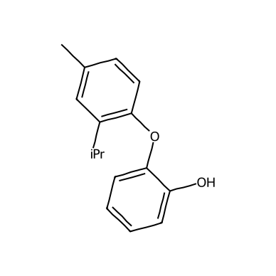 Cc1ccc(Oc2ccccc2O)c(C(C)C)c1